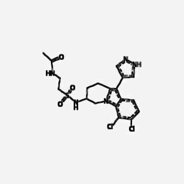 CC(=O)NCCS(=O)(=O)NC1CCc2c(-c3cn[nH]c3)c3ccc(Cl)c(Cl)c3n2C1